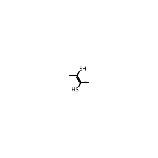 CC(S)=C(C)S